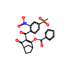 CS(=O)(=O)c1ccc(C(=O)C2=C(OC(=O)c3ccccc3)C3CCC(C3)C2=O)c([N+](=O)[O-])c1